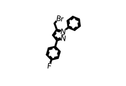 Fc1ccc(-c2cc(CBr)n(-c3ccccc3)n2)cc1